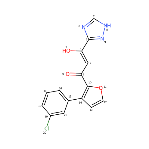 O=C(C=C(O)c1nc[nH]n1)c1occc1-c1cccc(Cl)c1